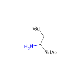 CCCCCC(N)NC(C)=O